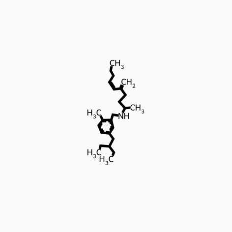 C=C(/C=C\CCC)CCC(C)NCc1cc(CC(CC)CC)ccc1C